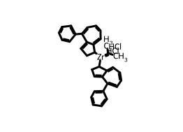 C[C](C)=[Zr]([CH]1CC=C2C(c3ccccc3)=CC=CC=C21)[CH]1CC=C2C(c3ccccc3)=CC=CC=C21.Cl.Cl